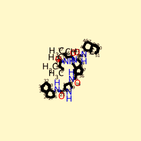 CC[C@@H](C)C(=O)N[C@H](C(=O)N1Cc2cc(C(=O)NC3CN[C@H](C(=O)NC4CCCc5ccccc54)C3)ccc2C[C@H]1C(=O)NC1CCCc2ccccc21)C(C)(C)C